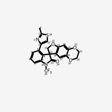 Cc1nc(-c2cccc3c2C2(COc4cc5c(cc42)OCCO5)C(=O)N3C(F)(F)F)cs1